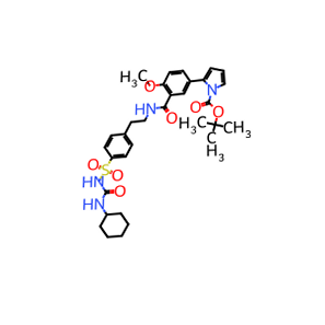 COc1ccc(-c2cccn2C(=O)OC(C)(C)C)cc1C(=O)NCCc1ccc(S(=O)(=O)NC(=O)NC2CCCCC2)cc1